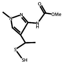 COC(=O)Nc1nn(C)cc1C(C)SS